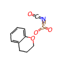 O=C=N[SH](=O)=O.c1ccc2c(c1)CCCO2